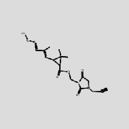 C#CCN1CC(=O)N(COC(=O)C2C(/C=C(C)/C=N/OCCC)C2(C)C)C1=O